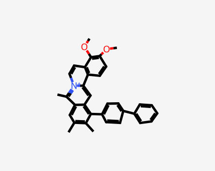 COc1ccc2c(cc[n+]3c(C)c4cc(C)c(C)c(-c5ccc(-c6ccccc6)cc5)c4cc23)c1OC